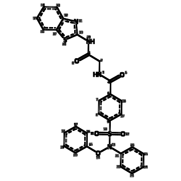 O=C(CNC(=O)c1ccc(S(=O)(=O)N(Oc2ccccc2)c2ccccc2)cc1)Nc1nc2ccccc2s1